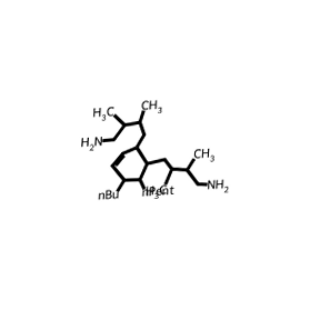 CCCCCC1C(CCCC)C=CC(CC(C)C(C)CN)C1CC(C)C(C)CN